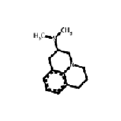 CN(C)C1Cc2cccc3c2N(CCC3)C1